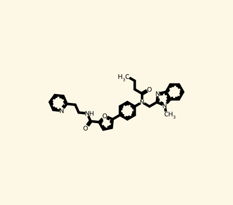 CCCC(=O)N(Cc1nc2ccccc2n1C)c1ccc(-c2ccc(C(=O)NCCc3ccccn3)o2)cc1